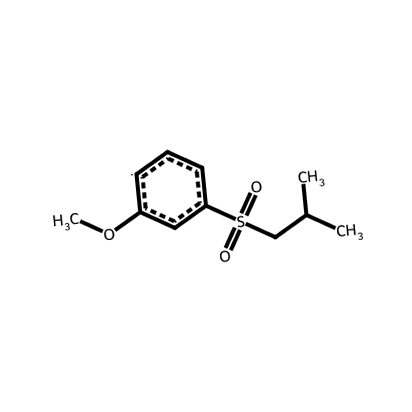 COc1[c]ccc(S(=O)(=O)CC(C)C)c1